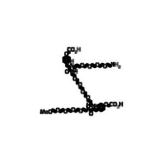 COCCOCCOCCOCCOCCNC(=O)C(Cc1ccc(OCC(=O)O)cc1)NC(=O)CCOCCOCCOCCOCCNC(=O)C(Cc1ccc(OCC(=O)O)cc1)NC(=O)CCOCCOCCOCCOCCN